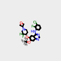 [2H]C([2H])([2H])Oc1cc2ncnc(Nc3cccc(Cl)c3F)c2cc1O[C@H]1CCN(C2COC2)CC1(F)F